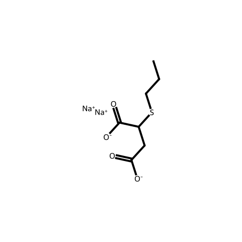 CCCSC(CC(=O)[O-])C(=O)[O-].[Na+].[Na+]